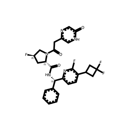 O=C(N[C@@H](c1ccccc1)c1ccc(C2CC(F)(F)C2)c(F)n1)[C@@H]1C[C@@H](F)CN1C(=O)Cc1c[nH]c(=O)cn1